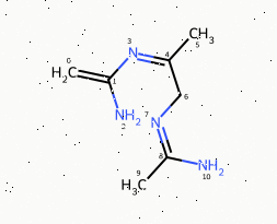 C=C(N)/N=C(/C)C/N=C(/C)N